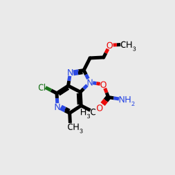 COCCc1nc2c(Cl)nc(C)c(C)c2n1OC(N)=O